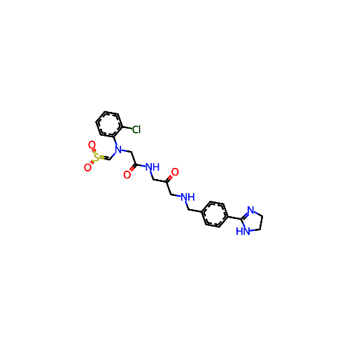 O=C(CNCc1ccc(C2=NCCN2)cc1)CNC(=O)CN(C=S(=O)=O)c1ccccc1Cl